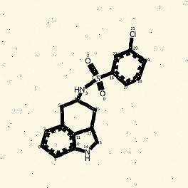 O=S(=O)(NC1Cc2cccc3c2C(CN3)C1)c1cccc(Cl)c1